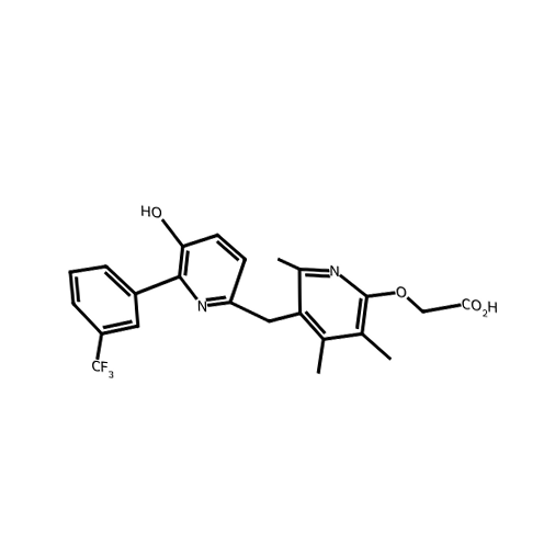 Cc1nc(OCC(=O)O)c(C)c(C)c1Cc1ccc(O)c(-c2cccc(C(F)(F)F)c2)n1